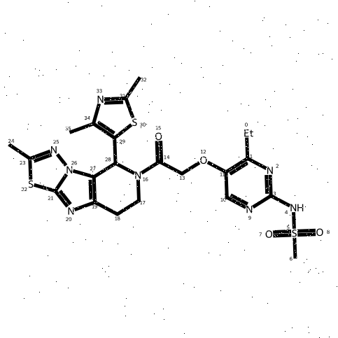 CCc1nc(NS(C)(=O)=O)ncc1OCC(=O)N1CCc2nc3sc(C)nn3c2C1c1sc(C)nc1C